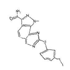 Cn1nc(C(N)=O)c2ccc3cnc(Oc4cccc(CI)c4)nc3c21